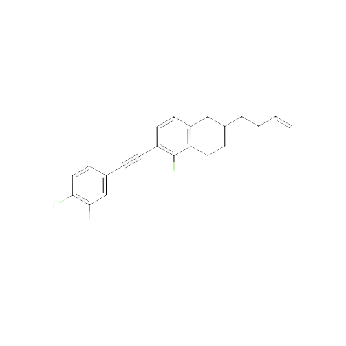 C=CCCC1CCc2c(ccc(C#Cc3ccc(F)c(F)c3)c2F)C1